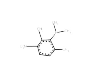 Cc1ccc([N+](=O)[O-])c(C)c1N(C)C